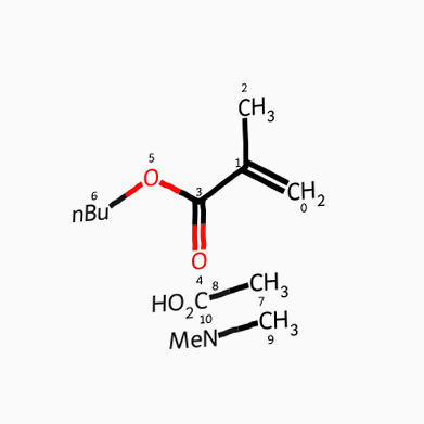 C=C(C)C(=O)OCCCC.CC(=O)O.CNC